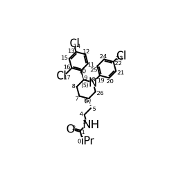 CC(C)C(=O)NCC[C@@H]1CC[C@@H](c2ccc(Cl)cc2Cl)N(c2ccc(Cl)cc2)C1